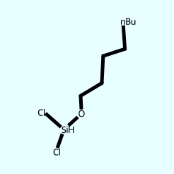 CCCCCCCCO[SiH](Cl)Cl